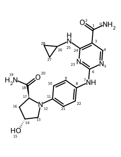 NC(=O)c1cnc(Nc2ccc(N3C[C@H](O)C[C@H]3C(N)=O)cc2)nc1NC1CC1